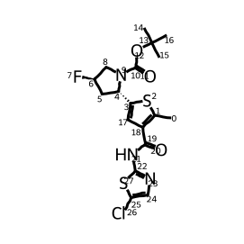 Cc1sc([C@@H]2C[C@@H](F)CN2C(=O)OC(C)(C)C)cc1C(=O)Nc1ncc(Cl)s1